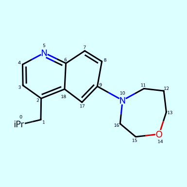 CC(C)Cc1ccnc2ccc(N3CCCOCC3)cc12